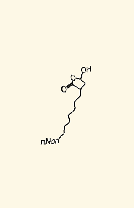 CCCCCCCCCCCCCCCCC1CC(O)OC1=O